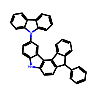 c1ccc(C2c3ccccc3-c3c2ccc2[nH]c4ccc(-n5c6ccccc6c6ccccc65)cc4c32)cc1